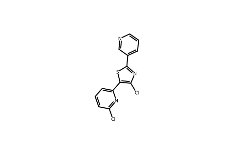 Clc1cccc(-c2sc(-c3cccnc3)nc2Cl)n1